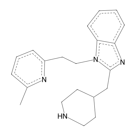 Cc1cccc(CCn2c(CC3CCNCC3)nc3ccccc32)n1